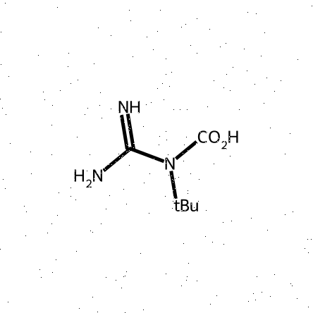 CC(C)(C)N(C(=N)N)C(=O)O